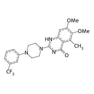 COc1cc2[nH]c(N3CCN(c4cccc(C(F)(F)F)c4)CC3)nc(=O)c2c(C)c1OC